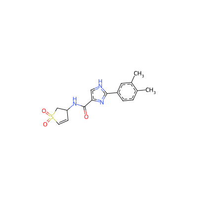 Cc1ccc(-c2nc(C(=O)NC3C=CS(=O)(=O)C3)c[nH]2)cc1C